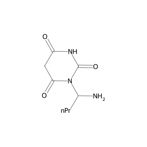 CCCC(N)N1C(=O)CC(=O)NC1=O